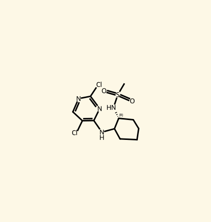 CS(=O)(=O)N[C@@H]1CCCCC1Nc1nc(Cl)ncc1Cl